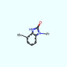 CC(C)n1c(=O)[nH]c2c(C(C)(C)C)cccc21